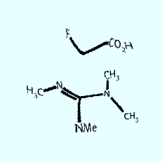 C/N=C(\NC)N(C)C.O=C(O)CF